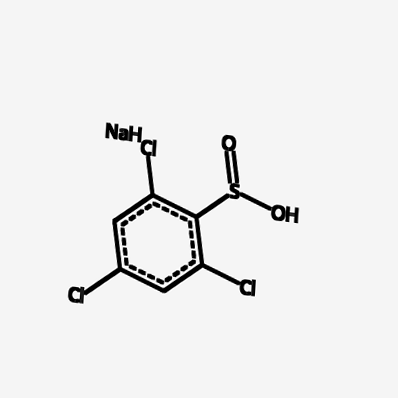 O=S(O)c1c(Cl)cc(Cl)cc1Cl.[NaH]